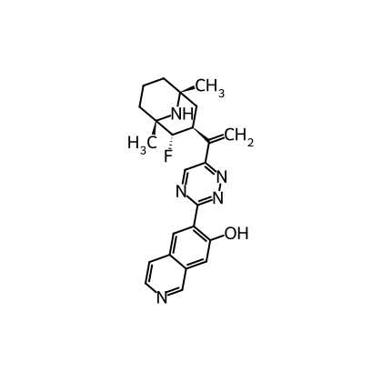 C=C(c1cnc(-c2cc3ccncc3cc2O)nn1)[C@@H]1C[C@@]2(C)CCC[C@](C)(N2)[C@H]1F